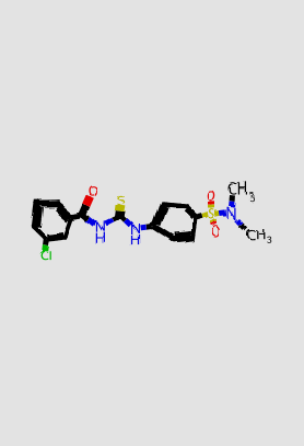 CN(C)S(=O)(=O)c1ccc(NC(=S)NC(=O)c2cccc(Cl)c2)cc1